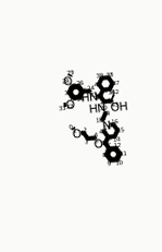 COCCCOC(c1ccccc1)C1CCCN(CCN[C@@H](C(NCc2cc(OC)cc(OC)c2)C2CCCCC2)[C@@H](C)O)C1